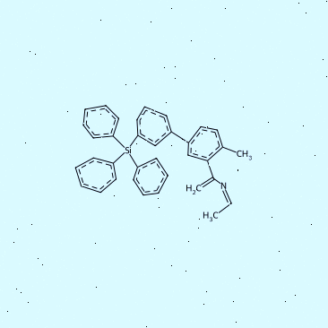 C=C(/N=C\C)c1cc(-c2cccc([Si](c3ccccc3)(c3ccccc3)c3ccccc3)c2)ccc1C